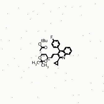 CC(C)(C)OC(=O)C[C@@H]1C[C@@H](C=Cc2c(C3CC3)nc3ccccc3c2-c2ccc(F)cc2)OC(C)(C)O1